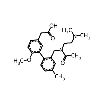 COc1ccc(CC(=O)O)cc1-c1ccc(C)cc1CN(CCN(C)C)C(C)=O